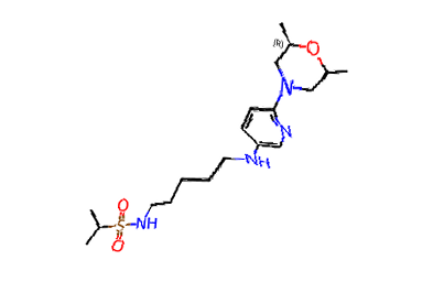 CC1CN(c2ccc(NCCCCCNS(=O)(=O)C(C)C)cn2)C[C@@H](C)O1